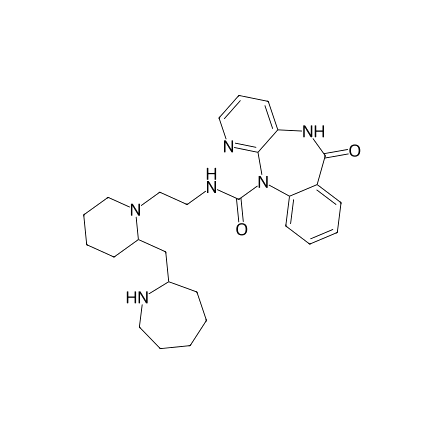 O=C1Nc2cccnc2N(C(=O)NCCN2CCCCC2CC2CCCCCN2)c2ccccc21